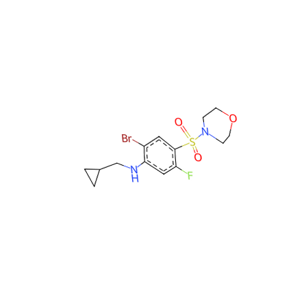 O=S(=O)(c1cc(Br)c(NCC2CC2)cc1F)N1CCOCC1